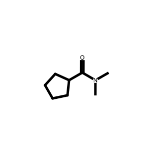 CN(C)C(=O)C1CCCC1